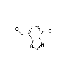 OCc1ccc(Cl)n2ncnc12